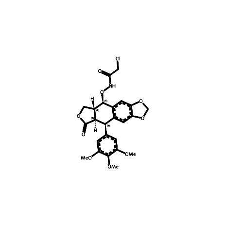 COc1cc([C@@H]2c3cc4c(cc3[C@H](ONC(=O)CCl)[C@H]3COC(=O)[C@H]23)OCO4)cc(OC)c1OC